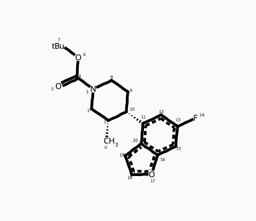 C[C@@H]1CN(C(=O)OC(C)(C)C)CC[C@@H]1c1cc(F)cc2occc12